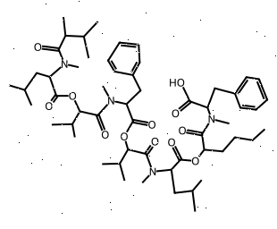 CCCCC(OC(=O)C(CC(C)C)N(C)C(=O)C(OC(=O)C(Cc1ccccc1)N(C)C(=O)C(OC(=O)C(CC(C)C)N(C)C(=O)C(C)C(C)C)C(C)C)C(C)C)C(=O)N(C)C(Cc1ccccc1)C(=O)O